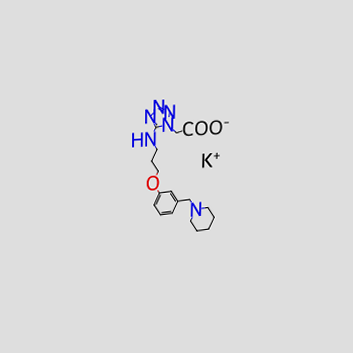 O=C([O-])Cn1nnnc1NCCCOc1cccc(CN2CCCCC2)c1.[K+]